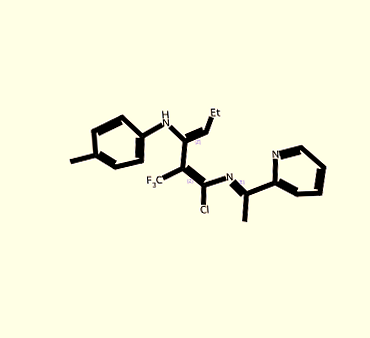 CC/C=C(Nc1ccc(C)cc1)/C(=C(Cl)\N=C(/C)c1ccccn1)C(F)(F)F